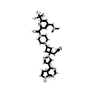 CN(C)Cc1cc(C(=O)N2CCN(C3CC(CC#N)(n4cc(-c5ncnc6[nH]ccc56)cn4)C3)CC2)nc(C(F)(F)F)c1